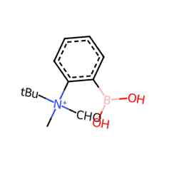 CC(C)(C)[N+](C)(C=O)c1ccccc1B(O)O